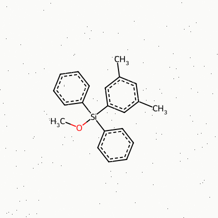 CO[Si](c1ccccc1)(c1ccccc1)c1cc(C)cc(C)c1